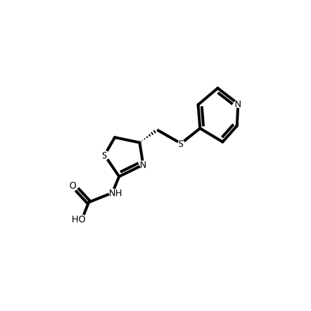 O=C(O)NC1=N[C@@H](CSc2ccncc2)CS1